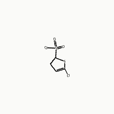 O=S(=O)(Cl)C1CC=C(Cl)S1